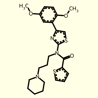 COc1ccc(OC)c(-c2csc(N(CCCN3CCCCC3)C(=O)c3cccs3)n2)c1